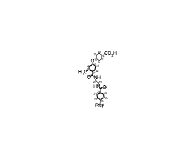 Cc1cc(O[C@H]2CC[C@@H](C(=O)O)CC2)ccc1C(=O)NCCNC(=O)c1ccc(C(F)F)cc1